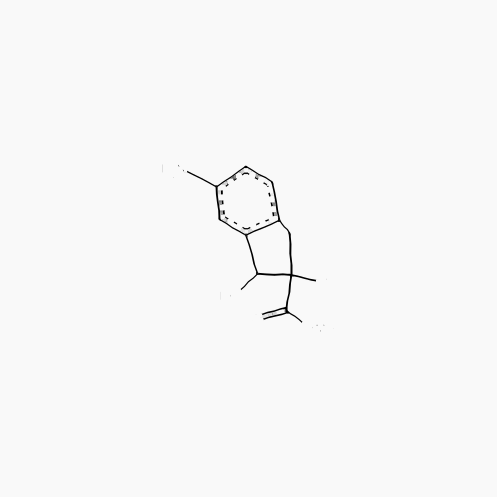 COC(=O)C1(C(C)C)Cc2ccc(N)cc2C1O